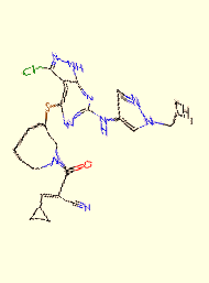 CCn1cc(Nc2nc(S[C@@H]3CCCN(C(=O)/C(C#N)=C/C4CC4)C3)c3c(Cl)n[nH]c3n2)cn1